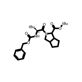 CC(C)(C)OC(=O)C1C2CCCC2CN1C(=O)[C@@H](NC(=O)OCc1ccccc1)C(C)(C)C